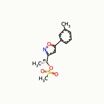 Cc1cccc(-c2cc([C@@H](C)OS(C)(=O)=O)no2)c1